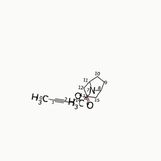 CC#CCOC(=O)N1C2CCC1CC(C)C2